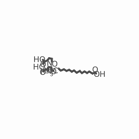 CCCCCCCCCCCCCCCC(=O)O.O=C1CCC(C(=O)O)N1.O=C1CCC(C(=O)O)N1